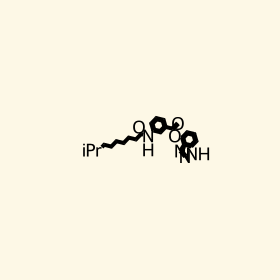 CC(C)CCCCCCC(=O)Nc1cccc(C(=O)Oc2cccc3[nH]nnc23)c1